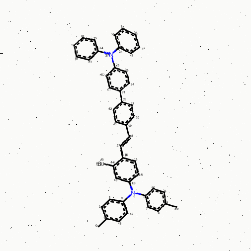 Cc1ccc(N(c2ccc(C)cc2)c2ccc(C=Cc3ccc(-c4ccc(N(c5ccccc5)c5ccccc5)cc4)cc3)c(C(C)(C)C)c2)cc1